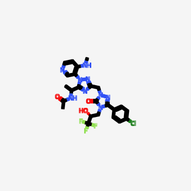 CNc1ccncc1-n1nc(Cn2nc(-c3ccc(Cl)cc3)n(C[C@H](O)C(F)(F)F)c2=O)nc1C(C)NC(C)=O